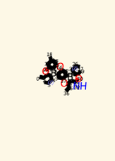 C=CC1=C(/C=C\C)B2c3cc4c(cc3Oc3cc(C)cc(c32)O1)B1C(/C=C\C)=C(C)OC(=N)C1=C(C=C)O4